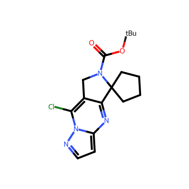 CC(C)(C)OC(=O)N1Cc2c(nc3ccnn3c2Cl)C12CCCC2